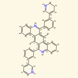 Cc1c2c(-c3cccc(-c4cccnc4)c3)nc3ccccc3c2c(C)c2c(-c3cccc(C4=CCCN=C4)c3)nc3ccccc3c12